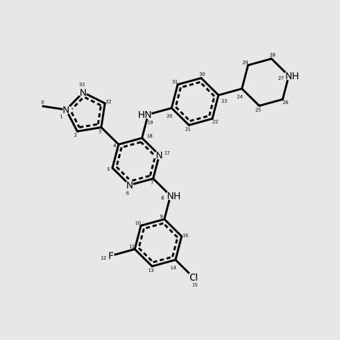 Cn1cc(-c2cnc(Nc3cc(F)cc(Cl)c3)nc2Nc2ccc(C3CCNCC3)cc2)cn1